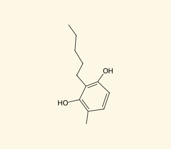 CCCCCc1c(O)ccc(C)c1O